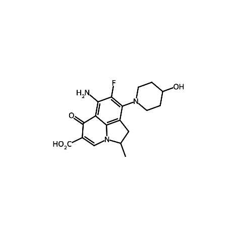 CC1Cc2c(N3CCC(O)CC3)c(F)c(N)c3c(=O)c(C(=O)O)cn1c23